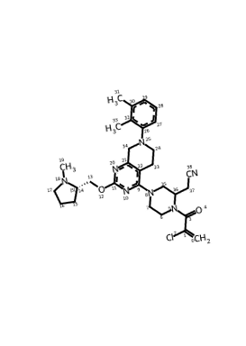 C=C(Cl)C(=O)N1CCN(c2nc(OC[C@@H]3CCCN3C)nc3c2CCN(c2cccc(C)c2C)C3)CC1CC#N